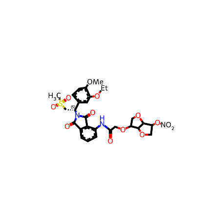 CCOc1cc([C@@H](CS(C)(=O)=O)N2C(=O)c3cccc(NC(=O)COC4COC5C(O[N+](=O)[O-])COC45)c3C2=O)ccc1OC